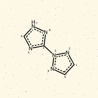 [c]1cnn(-c2nc[nH]n2)n1